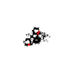 CC(C)(C)[C]12[C]3(C(P)(c4cccnc4)c4cccnc4)[C]4(CP)[CH]5[C]1([Si](C)(C)C)[Fe]54321678[CH]2[CH]1[CH]6[CH]7[CH]28